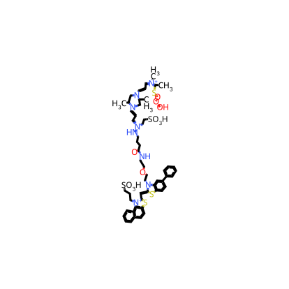 CC1CN(C=CC=[N+](C)C(C)SOOO)C(C)CN1C=CC=[N+](CCS(=O)(=O)O)NCCCC(=O)NCCOCCN1C(=Cc2sc3ccc4ccccc4c3[n+]2CCCS(=O)(=O)O)Sc2ccc(-c3ccccc3)cc21